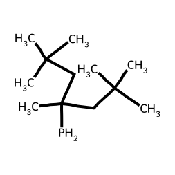 CC(C)(C)CC(C)(P)CC(C)(C)C